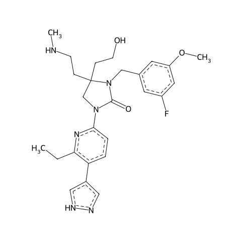 CCc1nc(N2CC(CCO)(CCNC)N(Cc3cc(F)cc(OC)c3)C2=O)ccc1-c1cn[nH]c1